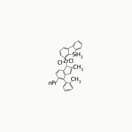 CCCc1ccc2c(c1-c1ccccc1C)C=C(C)[CH]2[Zr]([Cl])([Cl])[c]1cccc2c1[SiH2]c1ccccc1-2